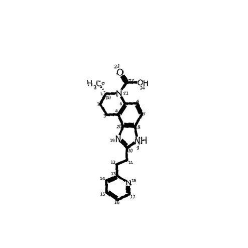 C[C@H]1CCc2c(ccc3[nH]c(CCc4ccccn4)nc23)N1C(=O)O